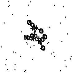 COCCCN1/C(=C/C=C2\CCC(/C=C/C3N(CCCOC)c4ccc(OC)cc4C3(C)C)=C2OC(c2ccncc2)C(C)(C)C)C(C)(C)c2cc(OC)ccc21